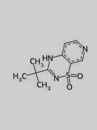 CC(C)(C)C1=NS(=O)(=O)c2cnccc2N1